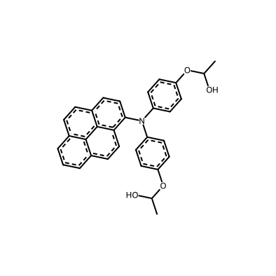 CC(O)Oc1ccc(N(c2ccc(OC(C)O)cc2)c2ccc3ccc4cccc5ccc2c3c45)cc1